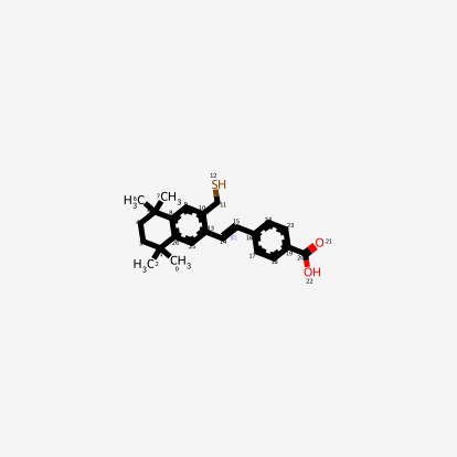 CC1(C)CCC(C)(C)c2cc(CS)c(/C=C/c3ccc(C(=O)O)cc3)cc21